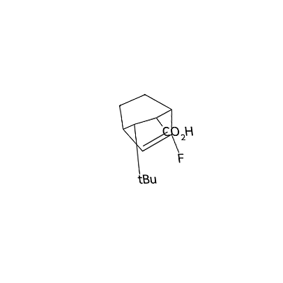 CC(C)(C)C1C2C=C(F)C(CC2)C1C(=O)O